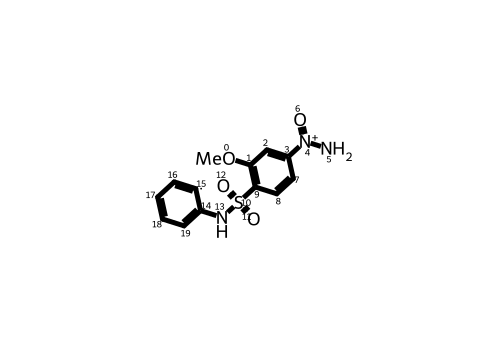 COc1cc([N+](N)=O)ccc1S(=O)(=O)Nc1[c]cccc1